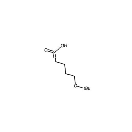 CC(C)(C)OCCCC[PH](=O)O